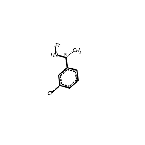 CC(C)N[C@H](C)c1cccc(Cl)c1